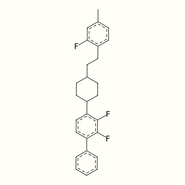 Cc1ccc(CCC2CCC(c3ccc(-c4ccccc4)c(F)c3F)CC2)c(F)c1